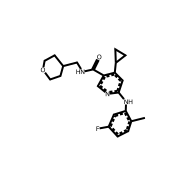 Cc1ccc(F)cc1Nc1cc(C2CC2)c(C(=O)NCC2CCOCC2)cn1